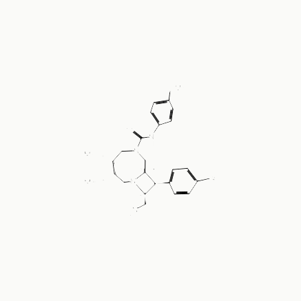 COc1ccc(NC(=O)N2C[C@@H](OC)[C@@H](OC)CN3[C@H](CN)[C@H](c4ccc(Br)cc4)[C@@H]3C2)cc1